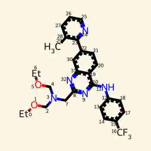 CCOCN(COCC)Cc1nc(Nc2ccc(C(F)(F)F)cc2)c2ccc(-c3ncccc3C)cc2n1